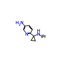 CC(C)NC1(c2ccc(N)cn2)CC1